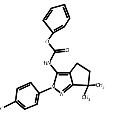 Cc1ccc(-n2nc3c(c2NC(=O)Oc2ccccc2)CCC3(C)C)cc1